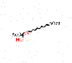 CCCCCCCCC=CCCCCCCCCOC[C@H](CO)OC(C)=O